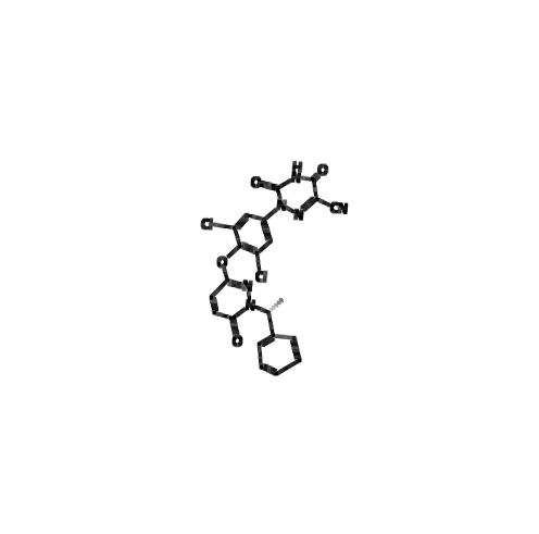 C[C@H](c1ccccc1)n1nc(Oc2c(Cl)cc(-n3nc(C#N)c(=O)[nH]c3=O)cc2Cl)ccc1=O